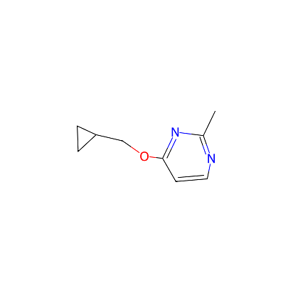 Cc1nccc(OCC2CC2)n1